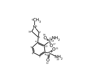 CN1CC(c2cccc(S(N)(=O)=O)c2S(N)(=O)=O)C1